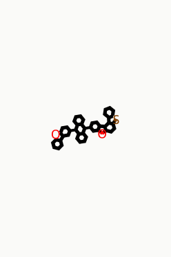 c1ccc2c(c1)oc1ccc(-c3c4ccccc4c(-c4ccc5c(c4)oc4ccc6sc7ccccc7c6c45)c4ccccc34)cc12